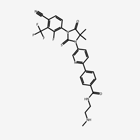 CNCCNC(=O)c1ccc(-c2ccc(N3C(=S)N(c4ccc(C#N)c(C(F)(F)F)c4F)C(=O)C3(C)C)cn2)cc1